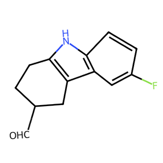 O=CC1CCc2[nH]c3ccc(F)cc3c2C1